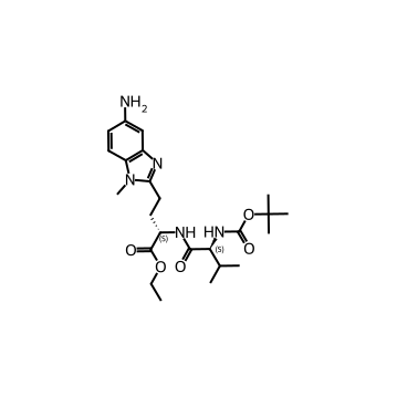 CCOC(=O)[C@H](CCc1nc2cc(N)ccc2n1C)NC(=O)[C@@H](NC(=O)OC(C)(C)C)C(C)C